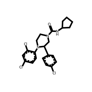 O=C(NC1CCCC1)N1CCN(c2ccc(Cl)cc2Cl)C(c2ccc(Cl)cc2)C1